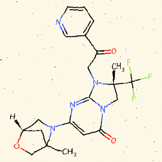 CC12CO[C@H](CN1c1cc(=O)n3c(n1)N(CC(=O)c1cccnc1)[C@](C)(C(F)(F)F)C3)C2